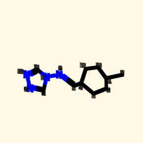 CC1CCC(/C=N/n2cnnc2)CC1